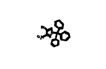 O=[N+]([O-])c1nn(C(c2ccccc2)(c2ccccc2)c2ccccc2)cc1Br